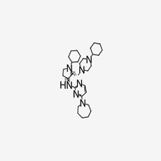 c1cc(N2CCCCCC2)nc(N[C@H]2CCN(C3CCCCC3)[C@@H]2CN2CCN(C3CCCCC3)CC2)n1